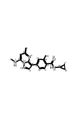 CNc1cc(C)nc2c(-c3ccc(C(=O)NC4CC4)c(C)c3)cnn12